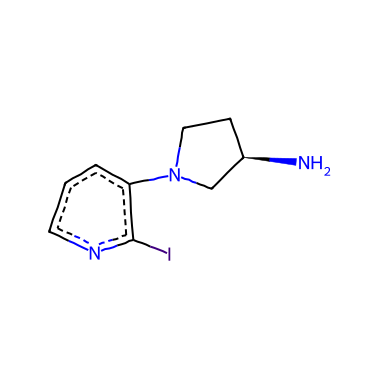 N[C@@H]1CCN(c2cccnc2I)C1